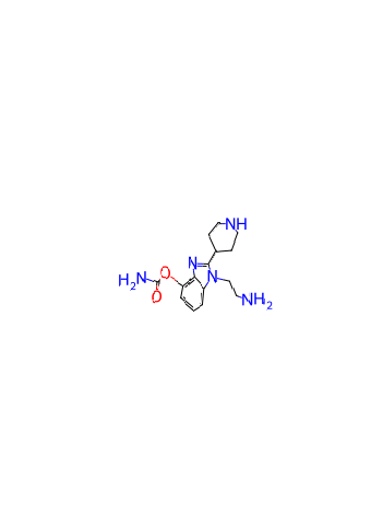 NCCn1c(C2CCNCC2)nc2c(OC(N)=O)cccc21